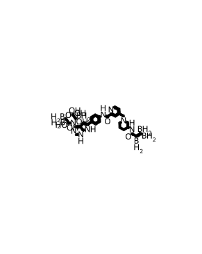 BC(B)=C(B)C(=O)NC1CCCN(Cc2ccnc(C(=O)Nc3ccc(C4=CC5=C(N6C(B)(O)C(O)(O)OC(B)(B)C6(O)O)N=CNC5N4)cc3)c2)C1